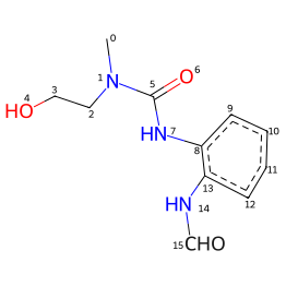 CN(CCO)C(=O)Nc1ccccc1NC=O